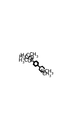 CC1(C)OB(c2ccc(C3CC[Si](C)(C)CC3)cc2)OC1(C)C